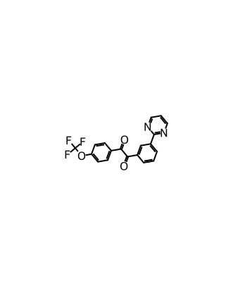 O=C(C(=O)c1cccc(-c2ncccn2)c1)c1ccc(OC(F)(F)F)cc1